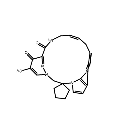 O=C1NC/C=C\Cc2cnc3c(ccn3C3(CCCC3)Cn3cc(O)c(=O)c1n3)c2